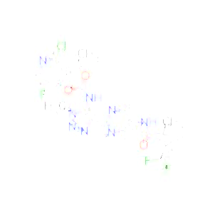 C[C@@H](OC(=O)Nc1c(-c2ncc(NC(=O)[C@]3(C)C[C@H]3C(F)F)cn2)nnn1C)c1cc(F)cnc1Cl